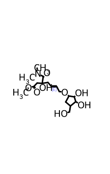 COC(=O)CC(O)(C/C=C/COC1CC(CO)C(O)C1O)C(=O)N(C)C